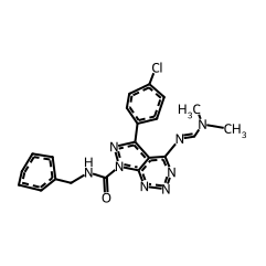 CN(C)/C=N/c1nnnc2c1c(-c1ccc(Cl)cc1)nn2C(=O)NCc1ccccc1